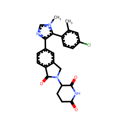 Cc1cc(Cl)ccc1-c1c(-c2ccc3c(c2)CN(C2CCC(=O)NC2=O)C3=O)ncn1C